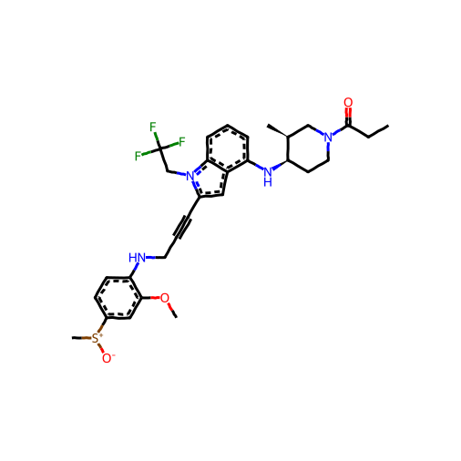 CCC(=O)N1CC[C@@H](Nc2cccc3c2cc(C#CCNc2ccc([S+](C)[O-])cc2OC)n3CC(F)(F)F)[C@@H](C)C1